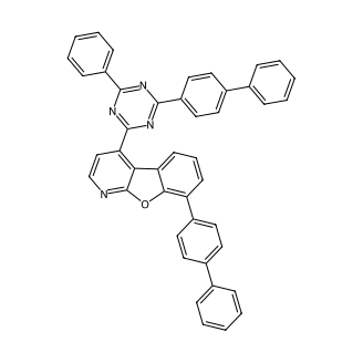 c1ccc(-c2ccc(-c3nc(-c4ccccc4)nc(-c4ccnc5oc6c(-c7ccc(-c8ccccc8)cc7)cccc6c45)n3)cc2)cc1